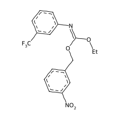 CCOC(=Nc1cccc(C(F)(F)F)c1)OCc1cccc([N+](=O)[O-])c1